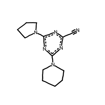 N#Cc1nc(N2CCCCC2)nc(N2CCCC2)n1